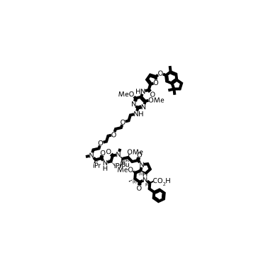 CC[C@H](C)[C@@H]([C@@H](CC(=O)N1CCC[C@H]1[C@H](OC)[C@@H](C)C(=O)N[C@H](Cc1ccccc1)C(=O)O)OC)N(C)C(=O)[C@@H](NC(=O)[C@H](C(C)C)N(C)CCOCCOCCOCCNc1nc(OC)c(NC(=O)c2ccc(Oc3cc4c(cc3C)CCC4(C)C)o2)c(OC)n1)C(C)C